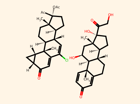 CC(=O)O[C@]1(C(C)=O)CC[C@H]2[C@@H]3C=C(Cl)C4=CC(=O)[C@@H]5C[C@@H]5[C@]4(C)[C@H]3CC[C@@]21C.C[C@]12C=CC(=O)C=C1CC[C@@H]1[C@@H]2[C@@H](O)C[C@@]2(C)[C@H]1CC[C@]2(O)C(=O)CO